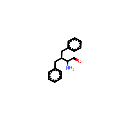 NC(C=O)C(Cc1ccccc1)Cc1ccccc1